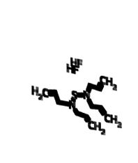 C=CCN(CC=C)SN(CC=C)CC=C.F.F